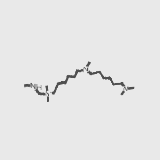 CNC[N+](C)(C)CCCCCCN(C)CCCCCCN(C)C